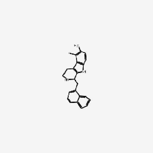 Cc1ccc2[nH]c3c(c2c1F)CCNC3Cc1cccc2ccccc12